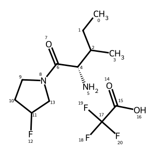 CCC(C)[C@H](N)C(=O)N1CCC(F)C1.O=C(O)C(F)(F)F